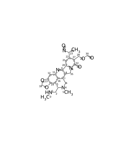 CNCCN(C)Cc1c2c(nc3cc4c(cc13)OCO4)-c1cc(C(C)N=O)c(COC=O)c(=O)n1C2